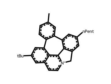 CCCCCc1cc2c3c(c1)-c1cc(C)ccc1-c1cc(C(C)(C)C)cc4cc[n+](c-3c14)C2